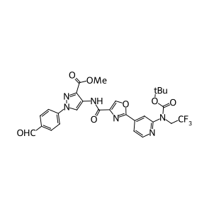 COC(=O)c1nn(-c2ccc(C=O)cc2)cc1NC(=O)c1coc(-c2ccnc(N(CC(F)(F)F)C(=O)OC(C)(C)C)c2)n1